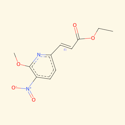 CCOC(=O)/C=C/c1ccc([N+](=O)[O-])c(OC)n1